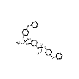 CCC(O)(Oc1ccc(Oc2ccccc2)cc1)Oc1cccc(OC(O)(CC)Oc2ccc(Oc3ccccc3)cc2)c1